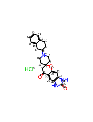 Cl.O=C1CC2(CCN(C3CCc4ccccc4C3)CC2)Oc2cc3[nH]c(=O)[nH]c3cc21